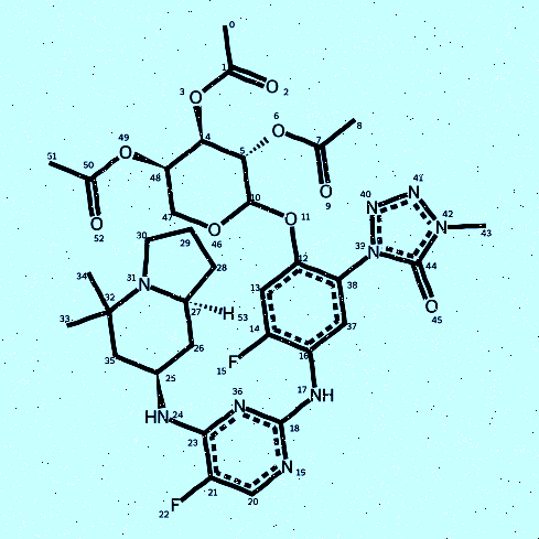 CC(=O)O[C@H]1[C@H](OC(C)=O)C(Oc2cc(F)c(Nc3ncc(F)c(N[C@@H]4C[C@@H]5CCCN5C(C)(C)C4)n3)cc2-n2nnn(C)c2=O)OC[C@H]1OC(C)=O